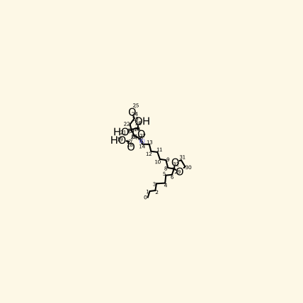 CCCCCCCC1(CCCCCC/C=C/[C@H](C(=O)O)[C@@](O)(CCOC)C(=O)O)OCCO1